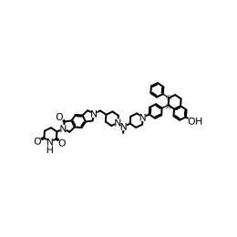 CN(C1CCN(c2ccc([C@@H]3c4ccc(O)cc4CC[C@@H]3c3ccccc3)cc2)CC1)N1CCC(CN2Cc3cc4c(cc3C2)C(=O)N(C2CCC(=O)NC2=O)C4)CC1